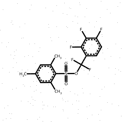 Cc1cc(C)c(S(=O)(=O)OC(F)(F)c2ccc(F)c(F)c2F)c(C)c1